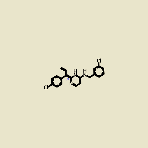 C=C/C(=C1/N=CC=C(NCc2cccc(Cl)c2)N1)c1ccc(Cl)cc1